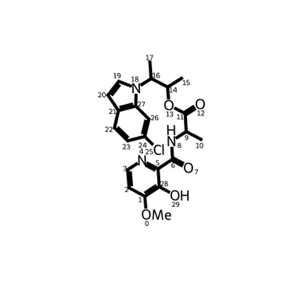 COc1ccnc(C(=O)NC(C)C(=O)OC(C)C(C)n2ccc3ccc(Cl)cc32)c1O